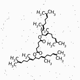 CC(C)=CCC/C(C)=C/CC(/C=C(\C)CCC=C(C)C)OC(=O)CCCC(=O)OC(/C=C(\C)CCC=C(C)C)C/C=C(\C)CCC=C(C)C